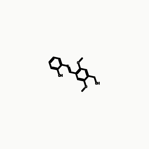 COc1cc(CO)c(OC)cc1C=Nc1ccccc1O